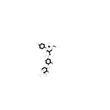 CC(C)Cn1cc(C(=O)Nc2ccc(Oc3ccnc(N)c3Cl)c(F)c2)c(=O)n(-c2ccc(F)cc2)c1=O